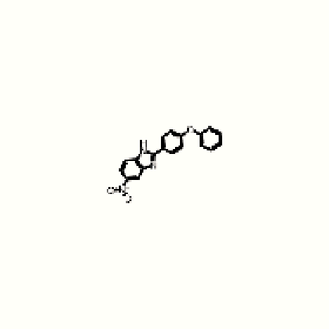 O=[N+]([O-])c1ccc2[nH]c(-c3ccc(Oc4ccccc4)cc3)nc2c1